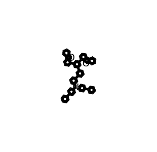 c1ccc(-c2ccc(N(c3ccc(-c4ccccc4)cc3)c3cccc(-c4cccc(-c5cc(-c6cccc7c6oc6ccccc67)cc(-c6cccc7c6oc6ccccc67)c5)c4)c3)cc2)cc1